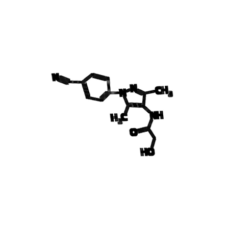 Cc1nn(-c2ccc(C#N)cc2)c(C)c1NC(=O)CO